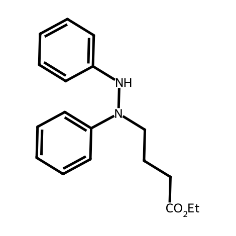 CCOC(=O)CCCN(Nc1ccccc1)c1ccccc1